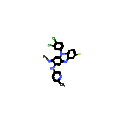 Cc1ccc(NC2=CC3=NC4CC(F)=CC=C4N(c4ccc(Cl)c(Cl)c4)C3=C/C2=N\C(C)C)cn1